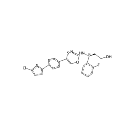 OCC[C@H](NC1=NSC(c2ccc(-c3ccc(Cl)s3)cc2)=CO1)c1ccccc1F